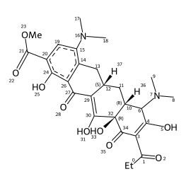 CCC(=O)C1=C(O)C(N(C)C)[C@H]2C[C@H]3Cc4c(N(C)C)cc(C(=O)OC)c(O)c4C(=O)C3=C(O)[C@@]2(O)C1=O